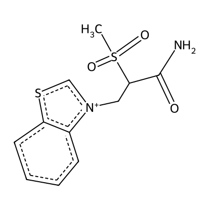 CS(=O)(=O)C(C[n+]1csc2ccccc21)C(N)=O